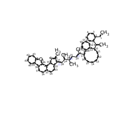 C=Cc1ccccc1C(=C)c1ccccccc(/C(C)=C/C=C(\C)C(=C)/C=c2\c(=C)sc3c2ccc2ccc4c5ccccc5oc4c23)c2ccccc12